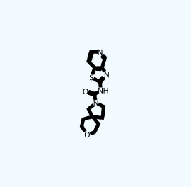 O=C(Nc1nc2cnccc2s1)N1CCC2(CCOCC2)C1